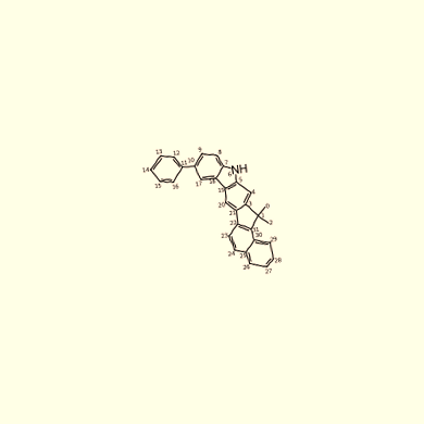 CC1(C)c2cc3[nH]c4ccc(-c5ccccc5)cc4c3cc2-c2ccc3ccccc3c21